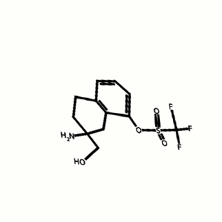 NC1(CO)CCc2cccc(OS(=O)(=O)C(F)(F)F)c2C1